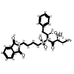 CC(C)C[C@H](N)C(=O)N([C@@H](Cc1ccccc1)C(=O)O)S(=O)(=O)CCCCN1C(=O)c2ccccc2C1=O